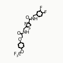 O=C(COc1ccc(OC(F)(F)F)cc1)NCc1nc(C(=O)NCc2ccc(F)c(F)c2)cs1